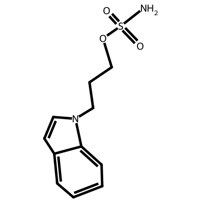 NS(=O)(=O)OCCCn1ccc2ccccc21